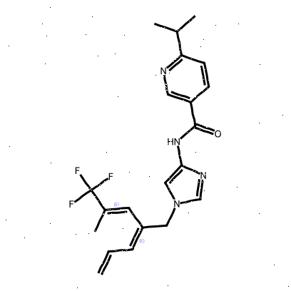 C=C/C=C(\C=C(/C)C(F)(F)F)Cn1cnc(NC(=O)c2ccc(C(C)C)nc2)c1